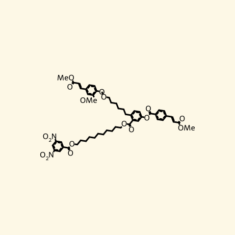 COC(=O)C=Cc1ccc(C(=O)Oc2ccc(CCCCCCOOc3ccc(C=CC(=O)OC)cc3OC)c(C(=O)OCCCCCCCCCCCOC(=O)c3cc([N+](=O)[O-])cc([N+](=O)[O-])c3)c2)cc1